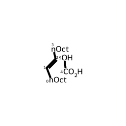 CCCCCCCCC=CCCCCCCCC.O=C(O)O